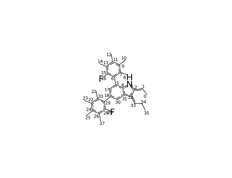 C/C=c1/[nH]c2c(-c3c(C)c(C)c(C)c(C)c3F)cc(-c3c(C)c(C)c(C)c(C)c3F)cc2/c1=C/CC